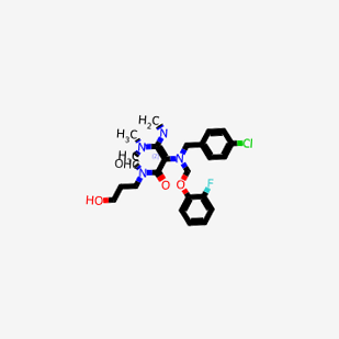 C=N/C(=C(/C(=O)N(C=O)CCCO)N(COc1ccccc1F)Cc1ccc(Cl)cc1)N(C)C